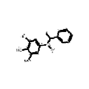 CC(c1ccccc1)[S+]([O-])c1cc(C(C)(C)C)c(O)c(C(C)(C)C)c1